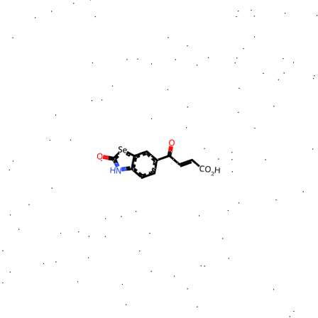 O=C(O)C=CC(=O)c1ccc2[nH]c(=O)[se]c2c1